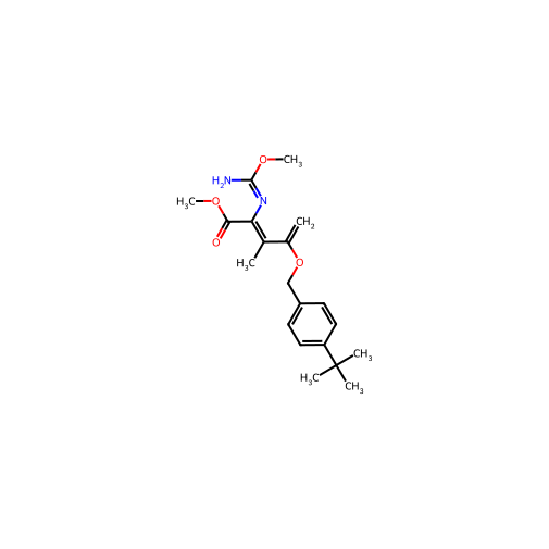 C=C(OCc1ccc(C(C)(C)C)cc1)/C(C)=C(\N=C(/N)OC)C(=O)OC